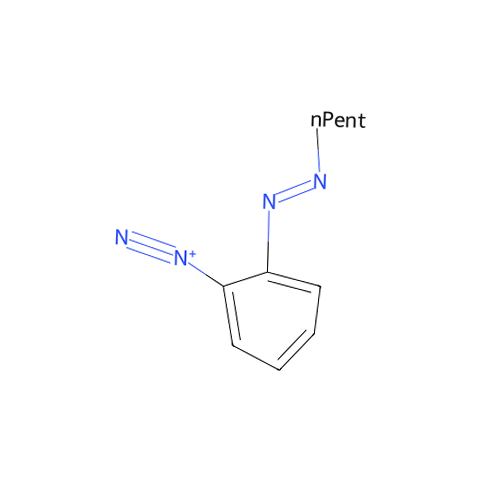 CCCCCN=Nc1ccccc1[N+]#N